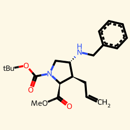 C=CC[C@@H]1[C@@H](NCc2ccccc2)CN(C(=O)OC(C)(C)C)[C@@H]1C(=O)OC